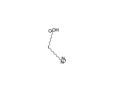 O=C(O)CCCCCCC/C=C\CCCCCCCCc1ncccn1